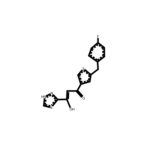 O=C(C=C(O)c1nc[nH]n1)c1csc(Cc2ccc(F)cc2)c1